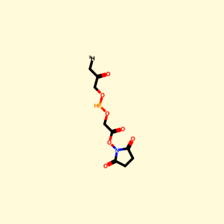 [3H]CC(=O)COPOCC(=O)ON1C(=O)CCC1=O